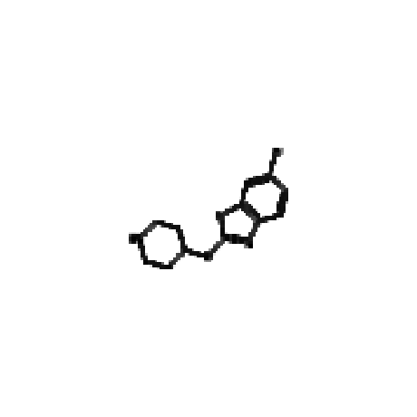 Brc1ccc2nc(OC3CCNCC3)sc2c1